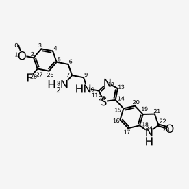 COc1ccc(CC(N)CNc2ncc(-c3ccc4c(c3)CC(=O)N4)s2)cc1F